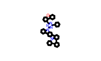 c1ccc(-c2nc(-c3cccc4oc5ccccc5c34)nc(-n3c4ccccc4c4cc5c(cc43)c3cccc4c3n5-c3ccccc3-c3ccccc3-4)n2)cc1